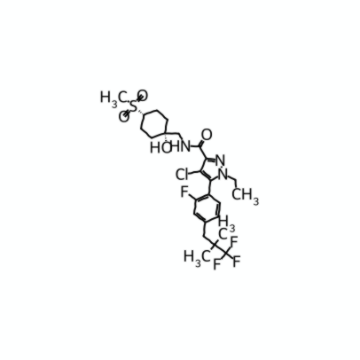 CCn1nc(C(=O)NC[C@]2(O)CC[C@@H](S(C)(=O)=O)CC2)c(Cl)c1-c1ccc(CC(C)(C)C(F)(F)F)cc1F